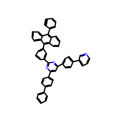 c1cccc(-c2c3ccccc3c(-c3cccc(-c4nc(-c5ccc(-c6ccccc6)cc5)cc(-c5ccc(-c6cccnc6)cc5)n4)c3)c3ccccc23)c#1